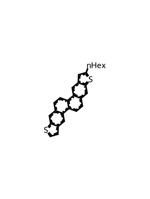 CCCCCCc1cc2cc3c(ccc4c5cc6ccsc6cc5ccc34)cc2s1